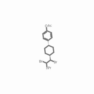 CCCC(Br)C(Br)[C@H]1CC[C@H](c2ccc(OC(C)=O)cc2)CC1